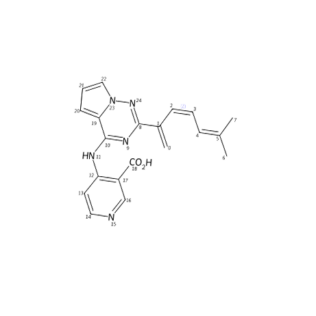 C=C(/C=C\C=C(C)C)c1nc(Nc2ccncc2C(=O)O)c2cccn2n1